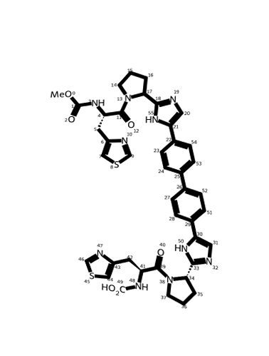 COC(=O)N[C@@H](Cc1cscn1)C(=O)N1CCCC1c1ncc(-c2ccc(-c3ccc(-c4cnc([C@@H]5CCCN5C(=O)[C@H](Cc5cscn5)NC(=O)O)[nH]4)cc3)cc2)[nH]1